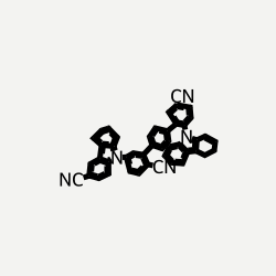 N#Cc1ccc(-n2c3c(c4ccccc42)CCC=C3)c(-c2ccc(-c3cc(-n4c5ccccc5c5cc(C#N)ccc54)ccc3C#N)cc2)c1